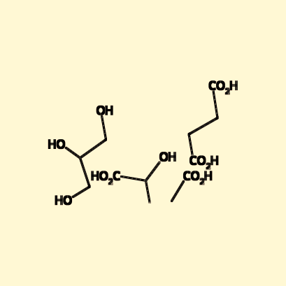 CC(=O)O.CC(O)C(=O)O.O=C(O)CCC(=O)O.OCC(O)CO